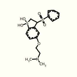 CN(C)CCOc1ccc2c(c1)C(S(=O)(=O)c1ccccc1)CS2(O)O